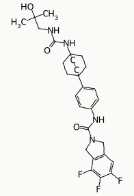 CC(C)(O)CNC(=O)NC12CCC(c3ccc(NC(=O)N4Cc5cc(F)c(F)c(F)c5C4)cc3)(CC1)CC2